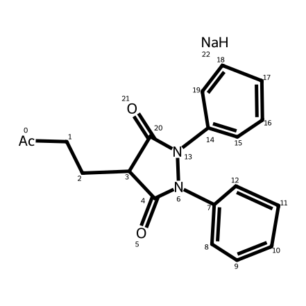 CC(=O)CCC1C(=O)N(c2ccccc2)N(c2ccccc2)C1=O.[NaH]